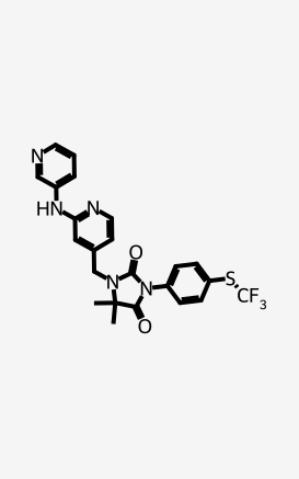 CC1(C)C(=O)N(c2ccc(SC(F)(F)F)cc2)C(=O)N1Cc1ccnc(Nc2cccnc2)c1